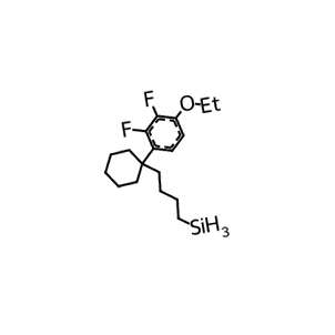 CCOc1ccc(C2(CCCC[SiH3])CCCCC2)c(F)c1F